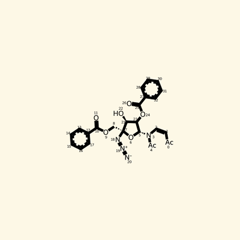 CC(=O)/C=C\N(C(C)=O)[C@@H]1O[C@@](COC(=O)c2ccccc2)(N=[N+]=[N-])[C@@H](O)C1OC(=O)c1ccccc1